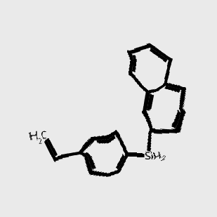 C=Cc1ccc([SiH2]C2C=CC=c3ccccc3=C2)cc1